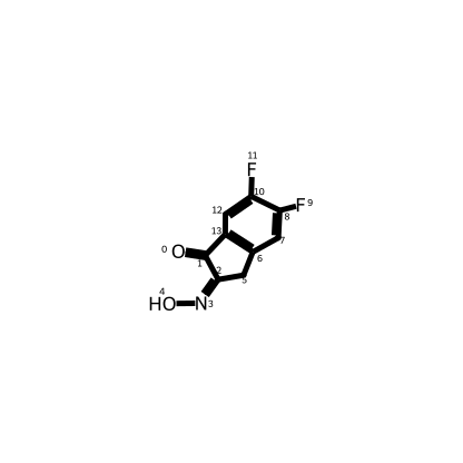 O=C1C(=NO)Cc2cc(F)c(F)cc21